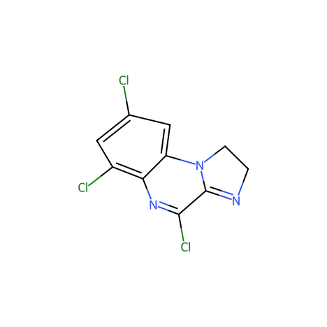 ClC1=Nc2c(Cl)cc(Cl)cc2N2CCN=C12